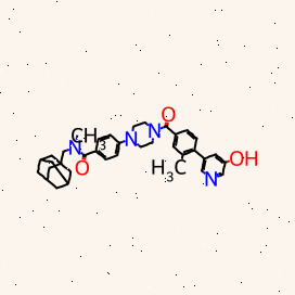 Cc1cc(C(=O)N2CCN(c3ccc(C(=O)N(C)CC45CC6CC(CC(C6)C4)C5)cc3)CC2)ccc1-c1cncc(O)c1